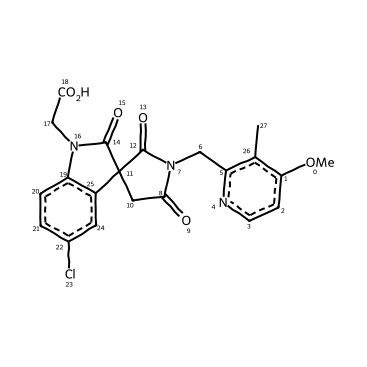 COc1ccnc(CN2C(=O)CC3(C2=O)C(=O)N(CC(=O)O)c2ccc(Cl)cc23)c1C